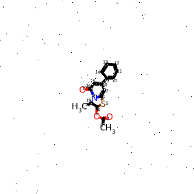 CC(=O)OC1Sc2cc(-c3ccccc3)cc(=O)n2C1C